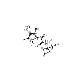 Cn1c(Cl)c(C(=O)C(=O)NC2(C(F)(F)F)CCC2)c(F)c1C=O